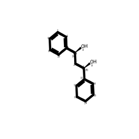 O[C@H](C[C@H](O)c1ccccc1)C1=CCCC=C1